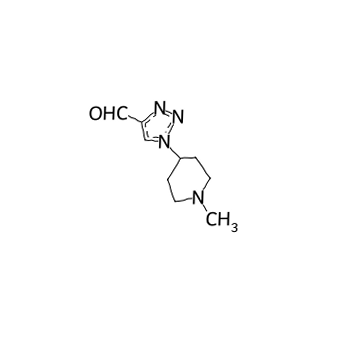 CN1CCC(n2cc(C=O)nn2)CC1